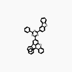 c1ccc(-c2nc(-c3cc4c5c(c3)-c3ccccc3C5(c3ccccc3)c3ccccc3O4)nc(-c3ccc4sc5ccccc5c4c3)n2)cc1